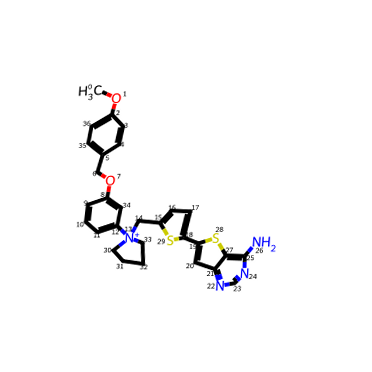 COc1ccc(COc2cccc([N+]3(Cc4ccc(-c5cc6ncnc(N)c6s5)s4)CCCC3)c2)cc1